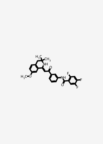 COc1ccc2c(c1)/C(=C/C(=O)c1cccc(NC(=O)c3cc(F)c(F)cc3F)c1)NC(C)(C)C2